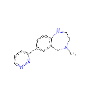 CN1CCNc2ccc(-c3cccnn3)cc2C1